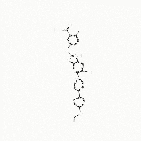 CCOc1ccc(-c2ccc(-c3nc4nc(Oc5ccc(C)c(C(=O)O)c5)[nH]c4cc3Cl)cc2)cc1